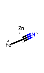 N#[C][Fe].[Zn]